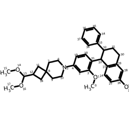 COc1cc(N2CCC3(CC2)CC(C(OC)OC)C3)ccc1C1c2ccc(O)cc2CCC1c1ccccc1